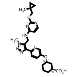 Cn1nnc(-c2ccc(O[C@H]3CCC[C@H](C(=O)O)C3)cn2)c1CNc1ccnc(OCC2(C)CC2)n1